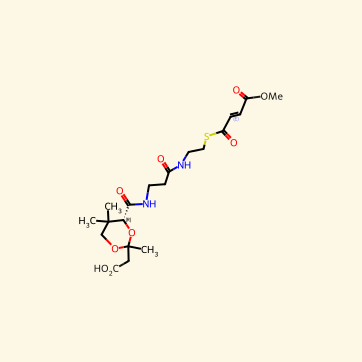 COC(=O)/C=C/C(=O)SCCNC(=O)CCNC(=O)[C@@H]1OC(C)(CC(=O)O)OCC1(C)C